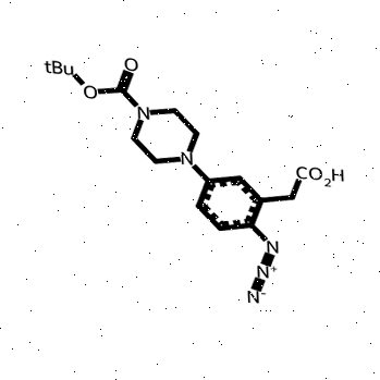 CC(C)(C)OC(=O)N1CCN(c2ccc(N=[N+]=[N-])c(CC(=O)O)c2)CC1